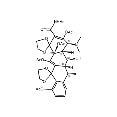 CC(=O)NC(=O)C1=C(OC(C)=O)[C@@H](N(C)C)[C@@H]2[C@@H](O)[C@H]3C(=C(OC(C)=O)[C@]2(OC(C)=O)C12OCCO2)C1(OCCO1)c1c(OC(C)=O)cccc1[C@@H]3C